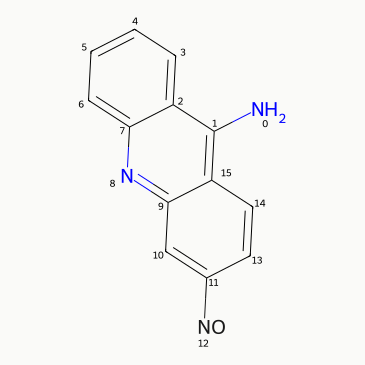 Nc1c2ccccc2nc2cc(N=O)ccc12